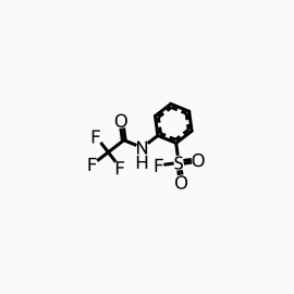 O=C(Nc1ccccc1S(=O)(=O)F)C(F)(F)F